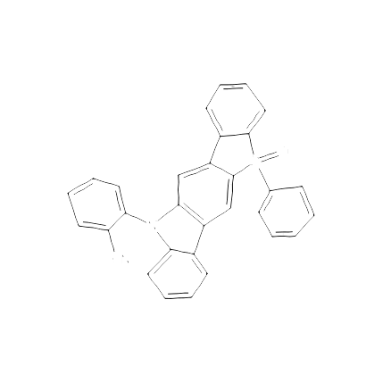 N#Cc1ccccc1-n1c2ccccc2c2cc3c(cc21)-c1ccccc1P3(=O)c1ccccc1